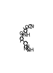 CNc1ncc2cc(-c3cc(C(=O)Nc4ccc(OC5CCN(C)CC5)c(C)c4)ccc3C)ccc2n1